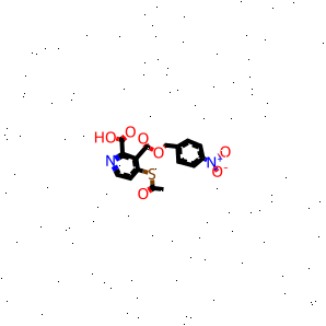 CC(=O)Sc1ccnc(C(=O)O)c1C(=O)OCc1ccc([N+](=O)[O-])cc1